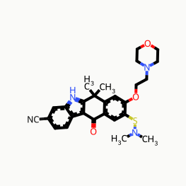 CN(C)Sc1cc2c(cc1OCCN1CCOCC1)C(C)(C)c1[nH]c3cc(C#N)ccc3c1C2=O